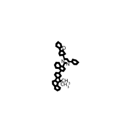 CC1(C)c2cc(-c3ccc(-c4nc(-c5ccccc5)cc(-c5ccc6c(c5)oc5ccccc56)n4)c4ccccc34)ccc2-c2ccc3ccccc3c21